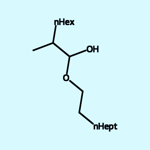 CCCCCCCCCOC(O)C(C)CCCCCC